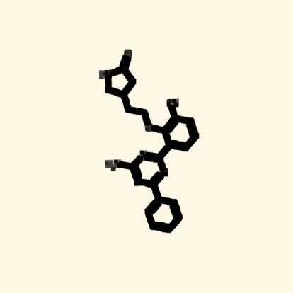 N#Cc1cccc(-c2nc(N)nc(-c3ccccc3)n2)c1OCCC1CNC(=O)C1